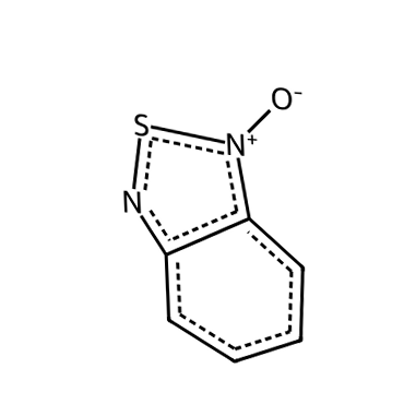 [O-][n+]1snc2ccccc21